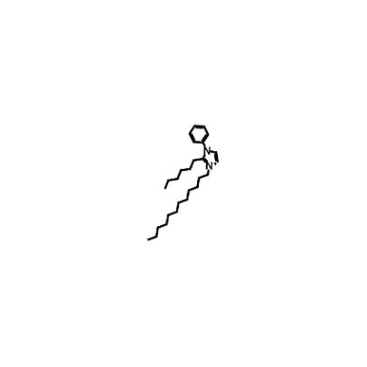 CCCCCCCCCCCC[n+]1ccn(-c2ccccc2)c1CCCCCC